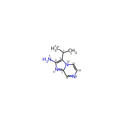 CC(C)c1c(N)nc2cnccn12